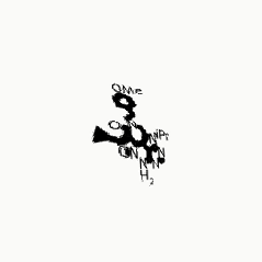 COc1ccc(CCN2Cc3c(c4c(N)ncnc4n3C(C)C)-c3noc(C4CC4)c3C2=O)cc1